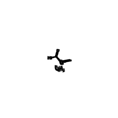 COC(=O)O.[CaH2]